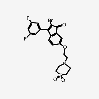 O=C1C(Br)=C(c2cc(F)cc(F)c2)c2ccc(OCCN3CCS(=O)(=O)CC3)cc21